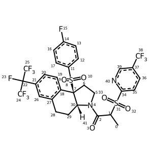 CC(C(=O)N1CC[C@@]2(S(=O)(=O)c3ccc(F)cc3)c3ccc(C(F)(C(F)(F)F)C(F)(F)F)cc3CC[C@@H]12)S(=O)(=O)c1ccc(C(F)(F)F)cn1